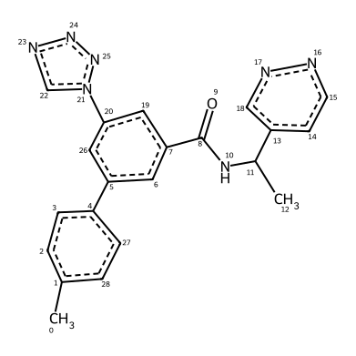 Cc1ccc(-c2cc(C(=O)NC(C)c3ccnnc3)cc(-n3cnnn3)c2)cc1